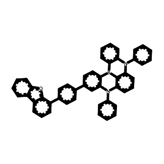 c1ccc(N2c3ccccc3B3c4ccc(-c5ccc(-c6cccc7c6oc6ccccc67)cc5)cc4N(c4ccccc4)c4cccc2c43)cc1